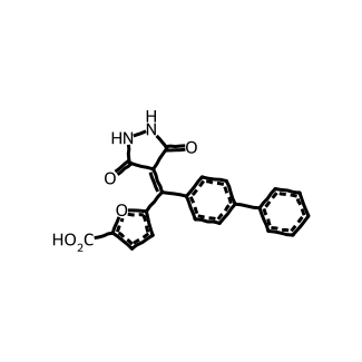 O=C1NNC(=O)C1=C(c1ccc(-c2ccccc2)cc1)c1ccc(C(=O)O)o1